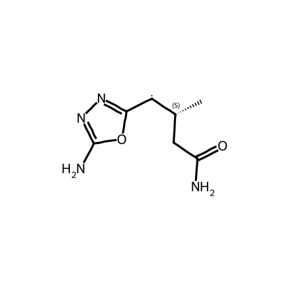 C[C@@H]([CH]c1nnc(N)o1)CC(N)=O